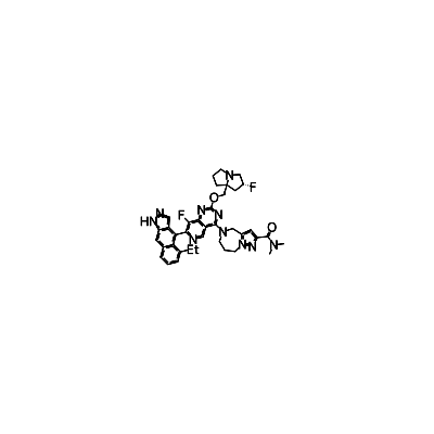 CCc1cccc2cc3[nH]ncc3c(-c3ncc4c(N5CCCn6nc(C(=O)N(C)C)cc6C5)nc(OC[C@@]56CCCN5C[C@H](F)C6)nc4c3F)c12